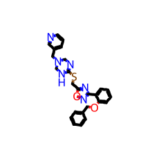 c1ccc(COc2ccccc2-c2noc(CSC3=NCN(Cc4cccnc4)CN3)n2)cc1